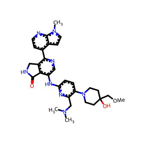 COCC1(O)CCN(c2ccc(Nc3cnc(-c4ccnc5c4ccn5C)c4c3C(=O)NC4)nc2CN(C)C)CC1